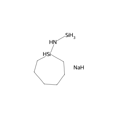 [NaH].[SiH3]N[SiH]1CCCCCC1